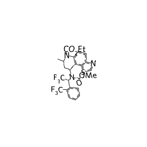 CCOC(=O)N1c2ccc3ncsc3c2C(N(C(=O)OC)C(c2ccccc2C(F)(F)F)C(F)(F)F)CC1C